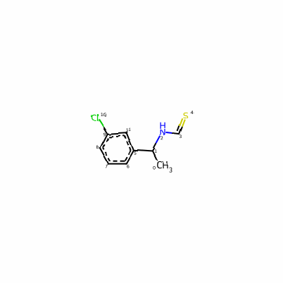 CC(NC=S)c1cccc(Cl)c1